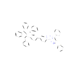 C1=CCC(C2=c3sc4ccccc4c3=NC(c3ccc(-c4ccc5c(c4)C(c4ccccc4)(c4ccccc4)c4cc6ccccc6c(-c6ccccc6)c4-5)cc3)N2)C=C1